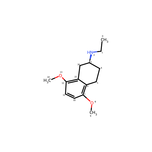 CCN[C@H]1CCc2c(OC)ccc(OC)c2C1